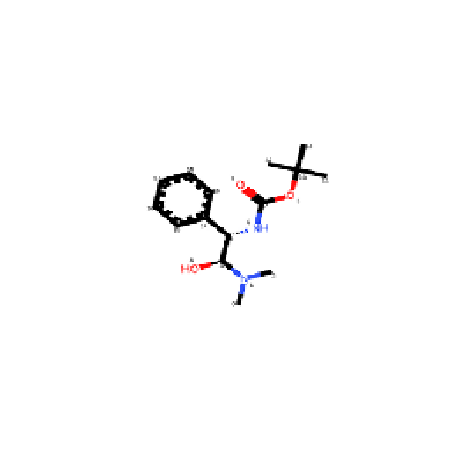 CN(C)[C@@H](O)[C@@H](NC(=O)OC(C)(C)C)c1ccccc1